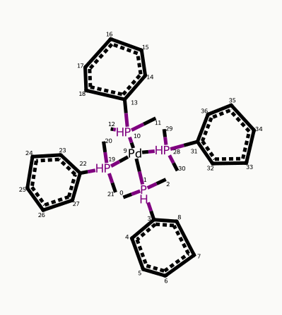 C[PH](C)(c1ccccc1)[Pd]([PH](C)(C)c1ccccc1)([PH](C)(C)c1ccccc1)[PH](C)(C)c1ccccc1